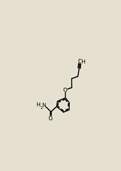 C#CCCCOc1cccc(C(N)=O)c1